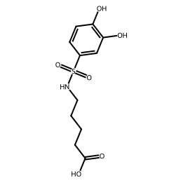 O=C(O)CCCCNS(=O)(=O)c1ccc(O)c(O)c1